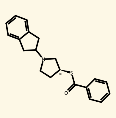 O=C(S[C@H]1CCN(C2Cc3ccccc3C2)C1)c1ccccc1